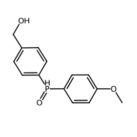 COc1ccc([PH](=O)c2ccc(CO)cc2)cc1